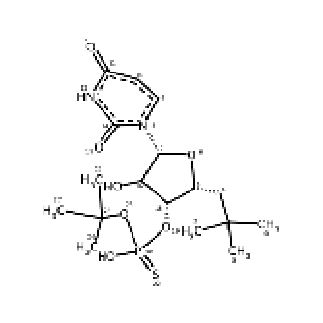 CC(C)(C)C[C@H]1O[C@@H](n2ccc(=O)[nH]c2=O)C(O)[C@H]1OP(O)(=S)OC(C)(C)C